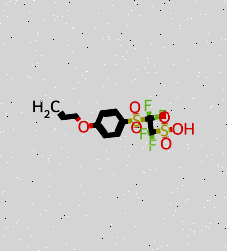 C=CCOc1ccc(S(=O)(=O)C(F)(F)C(F)(F)S(=O)(=O)O)cc1